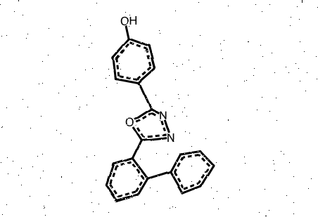 Oc1ccc(-c2nnc(-c3ccccc3-c3ccccc3)o2)cc1